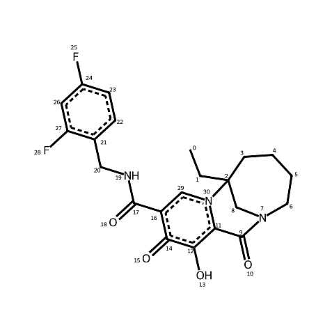 CCC12CCCCN(C1)C(=O)c1c(O)c(=O)c(C(=O)NCc3ccc(F)cc3F)cn12